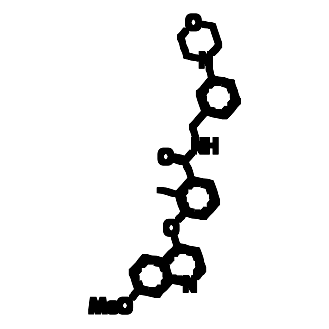 COc1ccc2c(Oc3cccc(C(=O)NCc4cccc(N5CCOCC5)c4)c3C)ccnc2c1